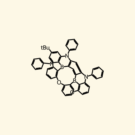 CC(C)(C)c1cc2c3c(c1)N(c1ccccc1)c1cccc4c1B3c1cc3c(cc1N2c1ccccc1)N(c1ccccc1)c1cccc2c1B3c1c(cccc1O4)O2